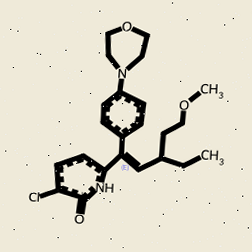 CCC(/C=C(\c1ccc(N2CCOCC2)cc1)c1ccc(Cl)c(=O)[nH]1)CCOC